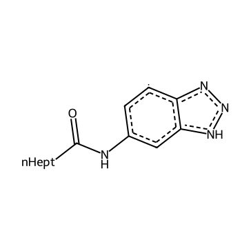 CCCCCCCC(=O)Nc1c[c]c2nn[nH]c2c1